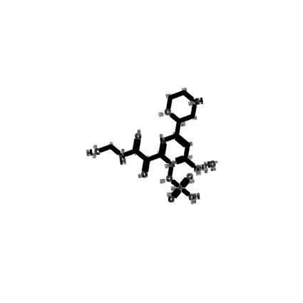 CCNC(=O)C(=O)c1nc(C2CNCCO2)cc(N)[n+]1OS(=O)(=O)O.[OH-]